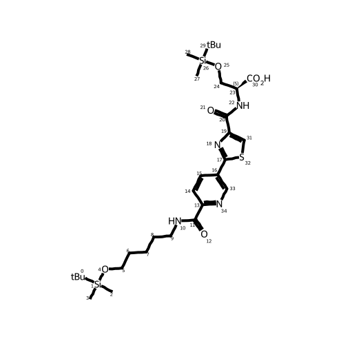 CC(C)(C)[Si](C)(C)OCCCCCNC(=O)c1ccc(-c2nc(C(=O)N[C@@H](CO[Si](C)(C)C(C)(C)C)C(=O)O)cs2)cn1